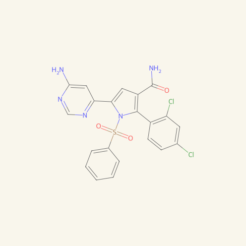 NC(=O)c1cc(-c2cc(N)ncn2)n(S(=O)(=O)c2ccccc2)c1-c1ccc(Cl)cc1Cl